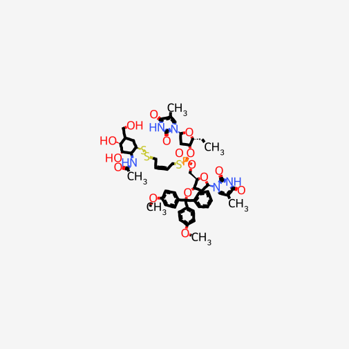 CC[C@H]1O[C@@H](n2cc(C)c(=O)[nH]c2=O)CC1OP(=O)(OC[C@H]1O[C@@H](n2cc(C)c(=O)[nH]c2=O)CC1OC(c1ccccc1)(c1ccc(OC)cc1)c1ccc(OC)cc1)SC/C=C\CSS[C@@H]1CC(CO)[C@@H](O)[C@H](O)C1NC(C)=O